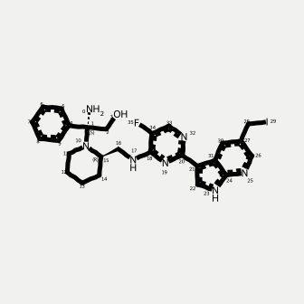 N[C@@](CO)(c1ccccc1)N1CCCC[C@@H]1CNc1nc(-c2c[nH]c3ncc(CI)cc23)ncc1F